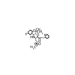 CCS(=O)(=O)CCC(NC1CC(C)(C)Oc2ccc(F)cc21)C(=O)NCCc1ccccn1